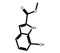 COC(=O)c1cc2cccc(O)c2[nH]1